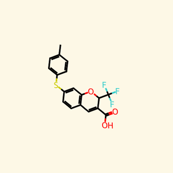 Cc1ccc(Sc2ccc3c(c2)OC(C(F)(F)F)C(C(=O)O)=C3)cc1